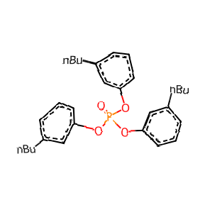 CCCCc1cccc(OP(=O)(Oc2cccc(CCCC)c2)Oc2cccc(CCCC)c2)c1